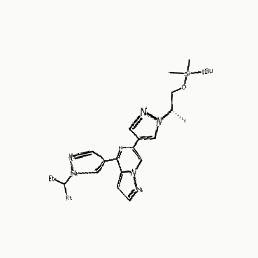 CCC(CC)n1cc(-c2nc(-c3cnn([C@@H](C)CO[Si](C)(C)C(C)(C)C)c3)cn3nccc23)cn1